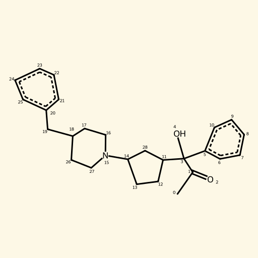 CC(=O)C(O)(c1ccccc1)C1CCC(N2CCC(Cc3ccccc3)CC2)C1